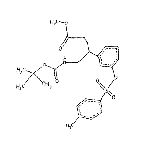 COC(=O)CC(CNC(=O)OC(C)(C)C)c1cccc(OS(=O)(=O)c2ccc(C)cc2)c1